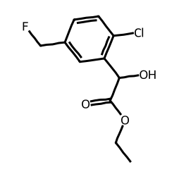 CCOC(=O)C(O)c1cc(CF)ccc1Cl